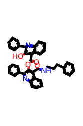 O=C(Oc1c(-c2ccccc2)nc2ccccc2c1C(=O)NCCCc1ccccc1)c1c(O)c(-c2ccccc2)nc2ccccc12